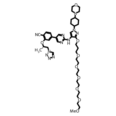 COCCOCCOCCOCCOCCOCCCOc1nn(C2CCC(N3CCOCC3)CC2)cc1Nc1ncc(-c2ccc(C#N)c(O[C@@H](C)Cn3cnnn3)c2)cn1